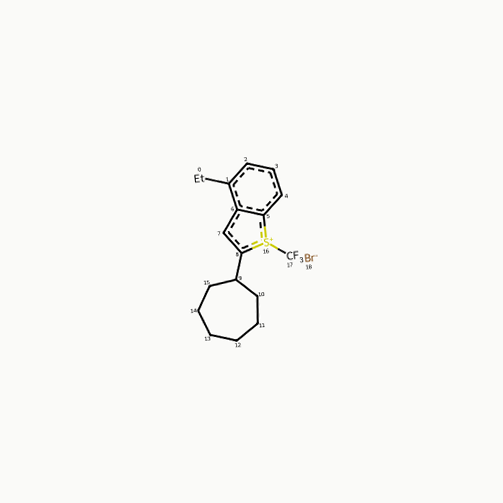 CCc1cccc2c1cc(C1CCCCCC1)[s+]2C(F)(F)F.[Br-]